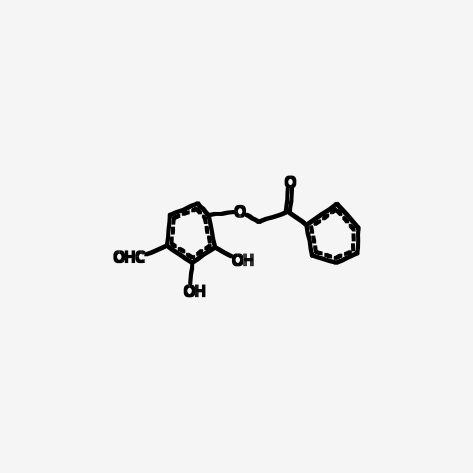 O=Cc1ccc(OCC(=O)c2ccccc2)c(O)c1O